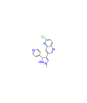 CN1C=C(c2cnc3ccc(Cl)nc3c2)C(c2ccncc2)N1